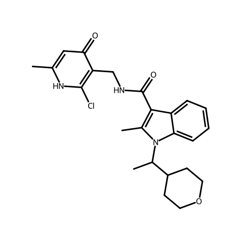 Cc1cc(=O)c(CNC(=O)c2c(C)n(C(C)C3CCOCC3)c3ccccc23)c(Cl)[nH]1